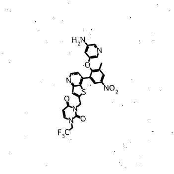 Cc1cc([N+](=O)[O-])cc(-c2ccnc3cc(Cn4c(=O)ccn(CC(F)(F)F)c4=O)sc23)c1Oc1cncc(N)c1